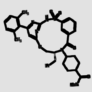 CNC(=O)C1CCC(N2C(=O)c3cccc(c3)S(=O)(=O)Nc3nc(cc(-c4c(C)cccc4C)n3)OC[C@H]2CC(C)C)CC1